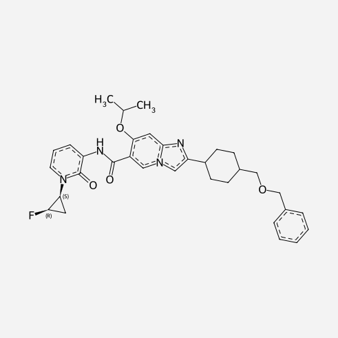 CC(C)Oc1cc2nc(C3CCC(COCc4ccccc4)CC3)cn2cc1C(=O)Nc1cccn([C@H]2C[C@H]2F)c1=O